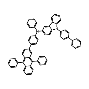 c1ccc(-c2ccc(-n3c4ccccc4c4cc(N(c5ccccc5)c5ccc(-c6ccc7c(-c8ccccc8)c8ccccc8c(-c8ccccc8)c7c6)cc5)ccc43)cc2)cc1